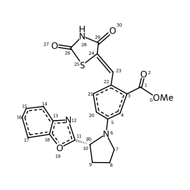 COC(=O)c1cc(N2CCC[C@@H]2c2nc3ccccc3o2)ccc1C=C1SC(=O)NC1=O